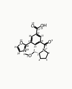 COC[C@H]1CCCN1C(=O)c1cc(C(=O)O)cc(-c2ncco2)c1